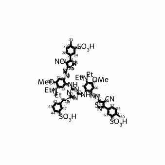 CCN(CC)c1cc(Nc2nc(Nc3cc(N(CC)CC)c(OC)cc3/N=N/c3snc(-c4ccc(C)c(S(=O)(=O)O)c4)c3C#N)nc(SCc3cccc(S(=O)(=O)O)c3)n2)c(/N=N/c2snc(-c3ccc(C)c(S(=O)(=O)O)c3)c2C#N)cc1OC